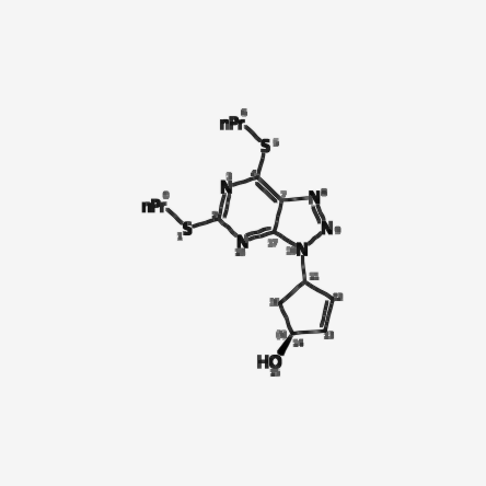 CCCSc1nc(SCCC)c2nnn(C3C=C[C@@H](O)C3)c2n1